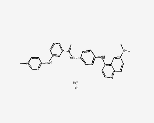 CN(C)c1ccc2nccc(Nc3ccc(NC(=O)c4cccc(Nc5cc[n+](C)cc5)c4)cc3)c2c1.Cl.[Cl-]